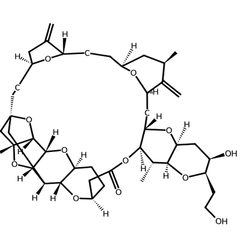 C=C1C[C@@H]2CC[C@@]34C[C@H]5[C@H]6O[C@H](CC[C@@H]6O[C@H]6[C@@H](O3)[C@@H](C4)O[C@@H]56)CC(=O)O[C@@H]3[C@@H](C)[C@@H]4O[C@H](CCO)[C@H](O)C[C@@H]4O[C@H]3C[C@H]3O[C@@H](CC[C@@H]1O2)C[C@@H](C)C3=C